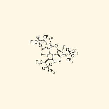 O=S(=O)(/C(=c1\c(F)c2oc3c(F)/c(=C(\C(F)(F)F)S(=O)(=O)C(F)(F)F)c(F)c3c3c(F)/c(=C(\C(F)(F)F)S(=O)(=O)C(F)(F)F)c(F)c3c2c1F)C(F)(F)F)C(F)(F)F